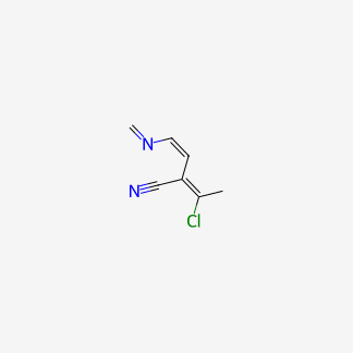 C=N/C=C\C(C#N)=C(/C)Cl